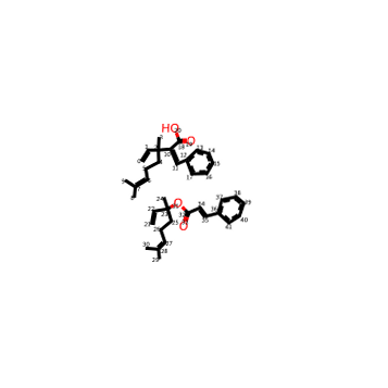 C=CC(C)(CCC=C(C)C)C(=Cc1ccccc1)C(=O)O.C=CC(C)(CCC=C(C)C)OC(=O)C=Cc1ccccc1